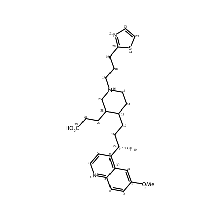 COc1ccc2nccc([C@@H](F)CCC3CCN(CCCc4nccs4)CC3CCC(=O)O)c2c1